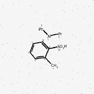 C[CH](C)[Al][CH](C)C.Cc1ccccc1S(=O)(=O)O